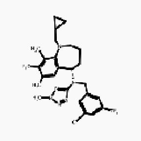 Cc1cc2c(c(C)c1C(F)(F)F)N(CC1CC1)CCC[C@@H]2N(Cc1cc(Cl)cc(C(F)(F)F)c1)c1nnn(C)n1